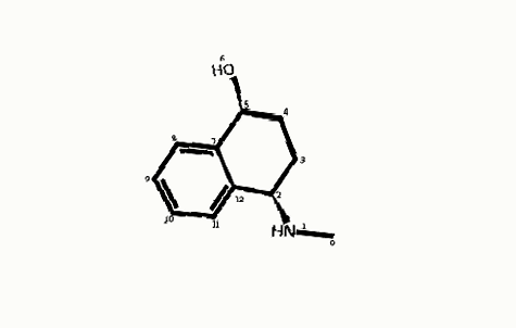 CN[C@@H]1CC[C@H](O)c2ccccc21